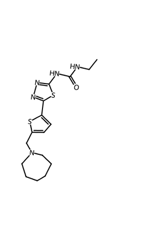 CCNC(=O)Nc1nnc(-c2ccc(CN3CCCCCC3)s2)s1